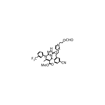 COC(=O)C1=C(C)N(c2cccc(C(F)(F)F)c2)c2n[nH]c(=O)n2[C@@H]1c1ccc(C#N)cc1CC[n+]1ccn(CCOC=O)c1